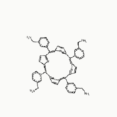 NCc1cccc(C2=C3C=CC(=N3)C(c3cccc(CN)c3)=C3C=CC(=N3)C(c3cccc(CN)c3)=C3C=CC(=N3)C(c3cccc(CN)c3)=C3C=CC2=N3)c1